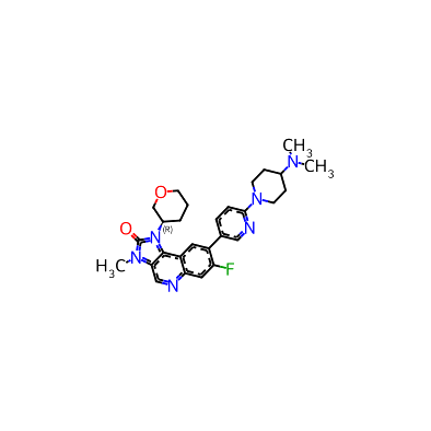 CN(C)C1CCN(c2ccc(-c3cc4c(cc3F)ncc3c4n([C@@H]4CCCOC4)c(=O)n3C)cn2)CC1